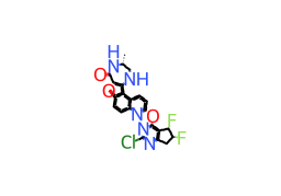 C[C@@H]1CNc2c(oc3ccc4nc(Oc5nc(Cl)nc6c5[C@H](F)[C@@H](F)C6)ccc4c23)C(=O)N1